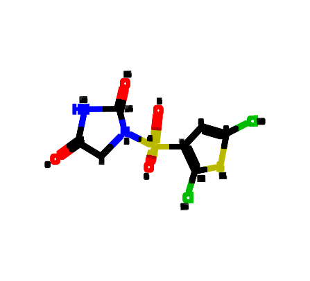 O=C1CN(S(=O)(=O)c2cc(Cl)sc2Cl)C(=O)N1